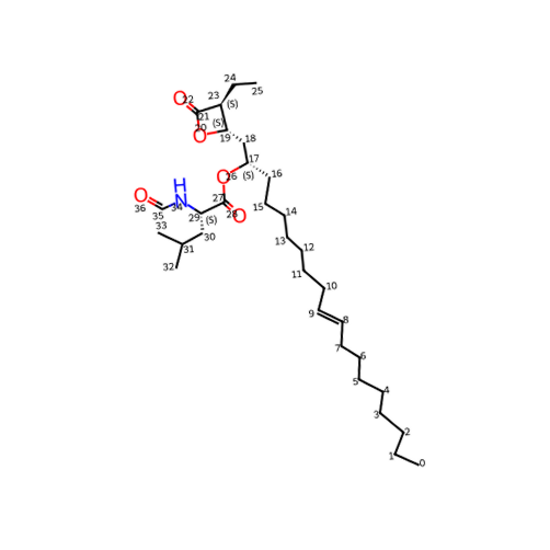 CCCCCCCCC=CCCCCCCC[C@@H](C[C@@H]1OC(=O)[C@H]1CC)OC(=O)[C@H](CC(C)C)NC=O